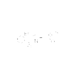 CCC1=CC2=CC(C(=O)OC(C)C)CCCN2C1C(=O)c1ccccc1